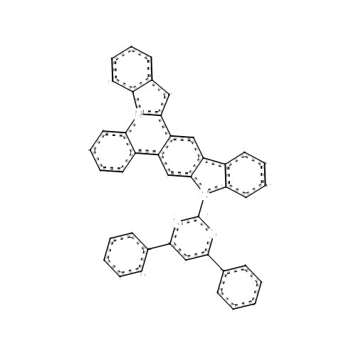 c1ccc(-c2cc(-c3ccccc3)nc(-n3c4ccccc4c4cc5c(cc43)c3ccccc3n3c4ccccc4cc53)n2)cc1